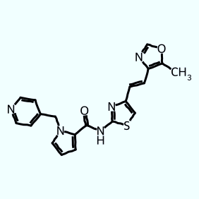 Cc1ocnc1/C=C/c1csc(NC(=O)c2cccn2Cc2ccncc2)n1